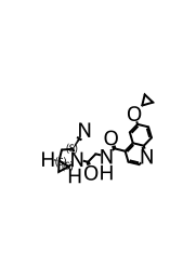 N#C[C@@H]1C[C@@H]2C[C@@H]2N1C(=O)CNC(=O)c1ccnc2ccc(OC3CC3)cc12